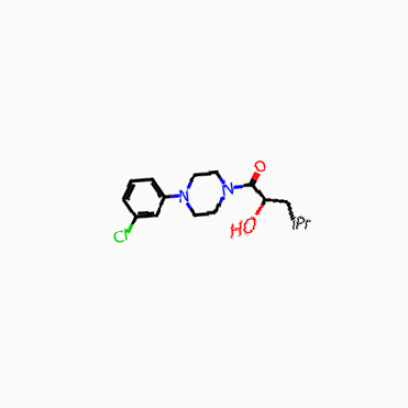 CC(C)CC(O)C(=O)N1CCN(c2cccc(Cl)c2)CC1